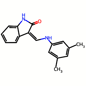 Cc1cc(C)cc(N/C=C2\C(=O)Nc3ccccc32)c1